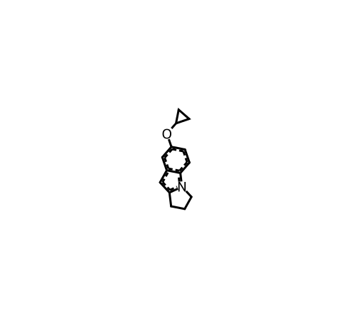 c1cc2c(cc1OC1CC1)cc1n2CCC1